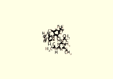 CSc1nc(NC(C)C)nc(NC(C)C)n1.Nc1c([N+](=O)[O-])cnn1-c1c(Cl)cc(C(F)(F)F)cc1Cl